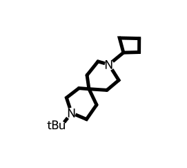 CC(C)(C)N1CCC2(CCN(C3CCC3)CC2)CC1